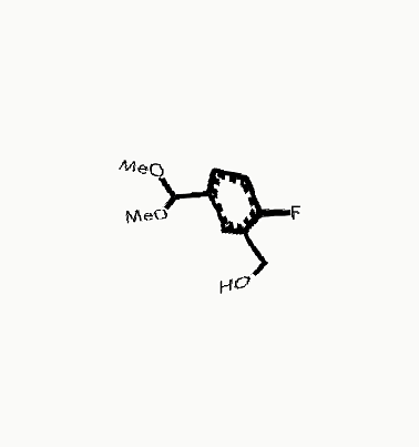 COC(OC)c1ccc(F)c(CO)c1